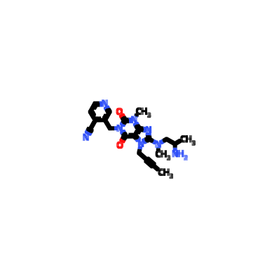 CC#CCn1c(N(C)CC(C)N)nc2c1c(=O)n(Cc1cnccc1C#N)c(=O)n2C